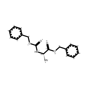 CCC[C@H](NC(=O)OCc1ccccc1)C(=O)OCc1ccccc1